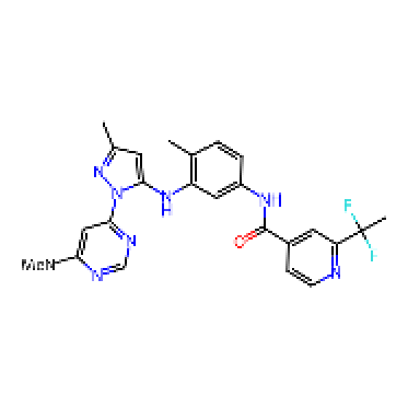 CNc1cc(-n2nc(C)cc2Nc2cc(NC(=O)c3ccnc(C(C)(F)F)c3)ccc2C)ncn1